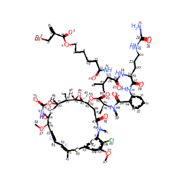 C=C(CBr)C(=O)OCCCCCC(=O)N[C@H](C(=O)N[C@@H](CCCNC(N)=O)C(=O)Nc1ccccc1C(=O)N(C)[C@@H](C)C(=O)O[C@H]1CC(=O)N(C)c2cc(cc(OC)c2Cl)C/C(C)=C/C=C/[C@@H](OC)[C@@]2(O)C[C@H](OC(=O)N2)[C@@H](C)[C@@H]2O[C@@]12C)C(C)C